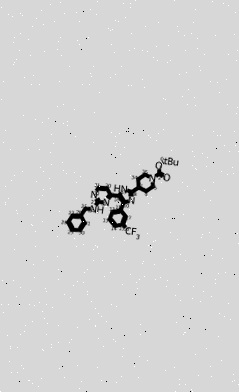 CC(C)(C)OC(=O)N1CCC(c2nc(-c3cccc(C(F)(F)F)c3)c(-c3ccnc(NCc4ccccc4)n3)[nH]2)CC1